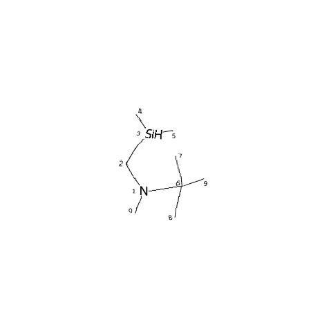 CN(C[SiH](C)C)C(C)(C)C